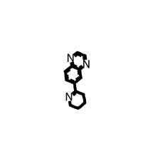 c1cnc2cc(C3=NCCCC3)ccc2n1